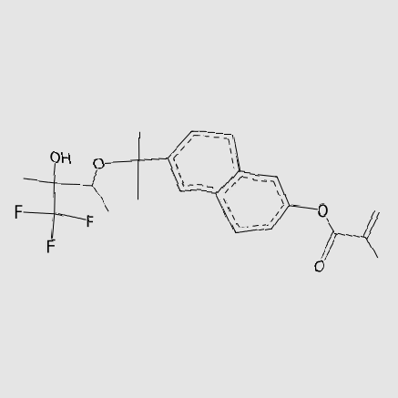 C=C(C)C(=O)Oc1ccc2cc(C(C)(C)OC(C)C(C)(O)C(F)(F)F)ccc2c1